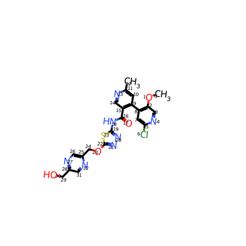 COc1cnc(Cl)cc1-c1cc(C)ncc1C(=O)Nc1nnc(OCc2cnc(CO)cn2)s1